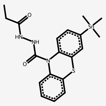 CCC(=O)NNC(=O)N1c2ccccc2Sc2c[c]([Sn]([CH3])([CH3])[CH3])ccc21